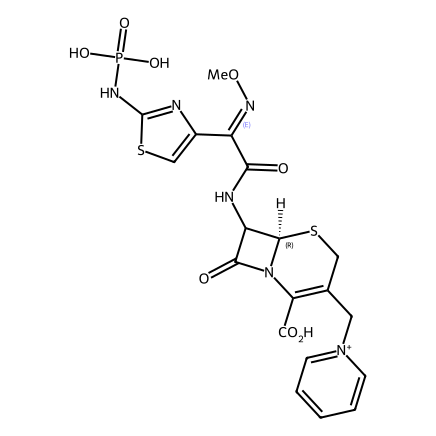 CO/N=C(/C(=O)NC1C(=O)N2C(C(=O)O)=C(C[n+]3ccccc3)CS[C@H]12)c1csc(NP(=O)(O)O)n1